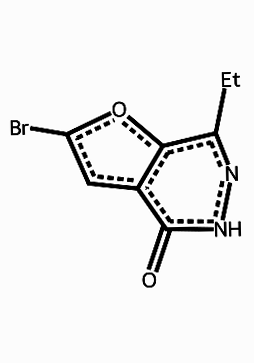 CCc1n[nH]c(=O)c2cc(Br)oc12